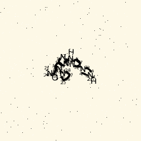 [2H]CN1CCN(c2ccc(Nc3ncc4cc(C(=O)N(C)C)n(N5CCCCC5)c4n3)nc2)CC1